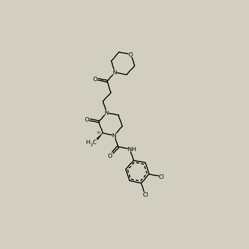 C[C@H]1C(=O)N(CCC(=O)N2CCOCC2)CCN1C(=O)Nc1ccc(Cl)c(Cl)c1